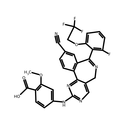 COc1cc(Nc2ncc3c(n2)-c2ccc(C#N)cc2C(c2c(F)cccc2OCC(F)(F)F)=NC3)ccc1C(=O)O